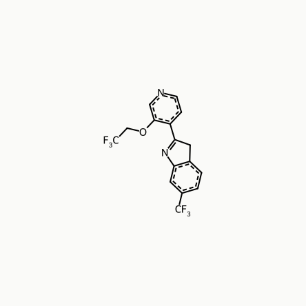 FC(F)(F)COc1cnccc1C1=Nc2cc(C(F)(F)F)ccc2C1